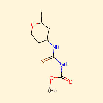 CC1CC(NC(=S)NC(=O)OC(C)(C)C)CCO1